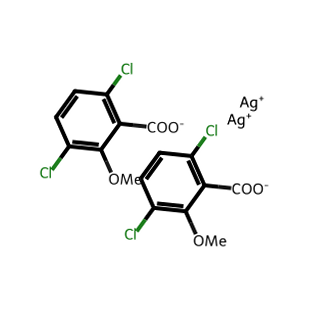 COc1c(Cl)ccc(Cl)c1C(=O)[O-].COc1c(Cl)ccc(Cl)c1C(=O)[O-].[Ag+].[Ag+]